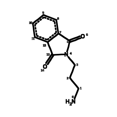 NCCCN1C(=O)c2ccccc2C1=O